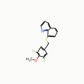 COc1c(F)cc(CSc2cccc3cccnc23)cc1F